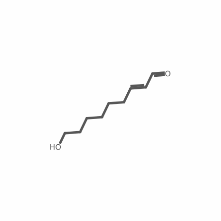 O=CC=CCCCCCCO